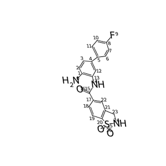 Nc1ccc(-c2ccc(F)cc2)cc1NC(=O)c1ccc2c(c1)CNS2(=O)=O